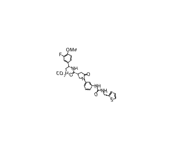 COc1ccc(C(CC(=O)O)NC(=O)C2CC(=O)N(c3cccc(NC(=O)NCc4cccs4)c3)C2)cc1F